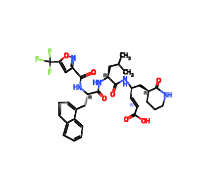 CC(C)C[C@H](NC(=O)[C@H](Cc1cccc2ccccc12)NC(=O)c1cc(C(F)(F)F)on1)C(=O)NC(/C=C/C(=O)O)C[C@@H]1CCCNC1=O